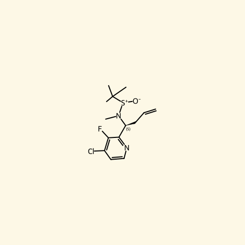 C=CC[C@@H](c1nccc(Cl)c1F)N(C)[S+]([O-])C(C)(C)C